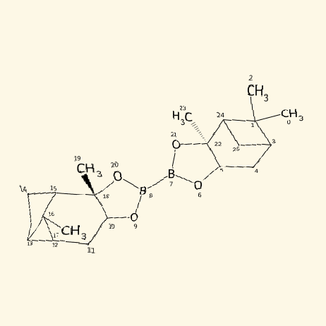 CC1(C)C2CC3OB(B4OC5CC6C7CC(C67C)[C@]5(C)O4)O[C@@]3(C)C1C2